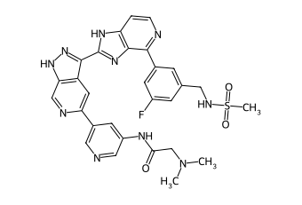 CN(C)CC(=O)Nc1cncc(-c2cc3c(-c4nc5c(-c6cc(F)cc(CNS(C)(=O)=O)c6)nccc5[nH]4)n[nH]c3cn2)c1